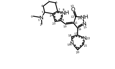 CN(C)C1CCCc2[nH]c(/C=C3\C(=O)NN=C3c3cnccn3)cc21